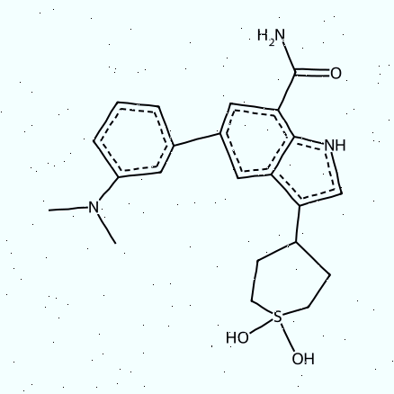 CN(C)c1cccc(-c2cc(C(N)=O)c3[nH]cc(C4CCS(O)(O)CC4)c3c2)c1